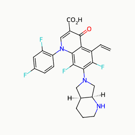 C=Cc1c(F)c(N2C[C@@H]3CCCN[C@@H]3C2)c(F)c2c1c(=O)c(C(=O)O)cn2-c1ccc(F)cc1F